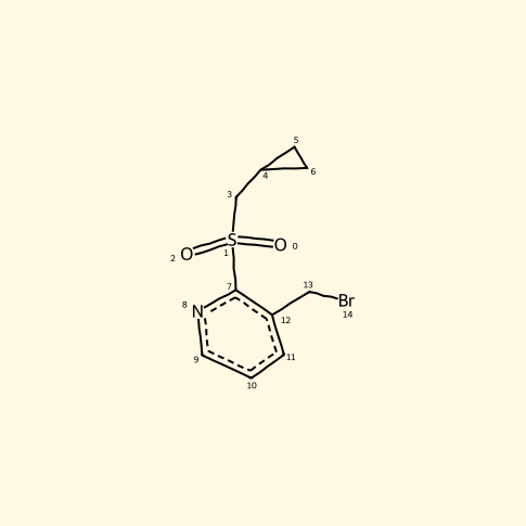 O=S(=O)(CC1CC1)c1ncccc1CBr